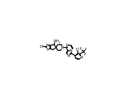 NC1c2nc(Cl)sc2CC12CCN(c1nccn3c(-c4ccnc(C(F)(F)F)c4Cl)ncc13)CC2